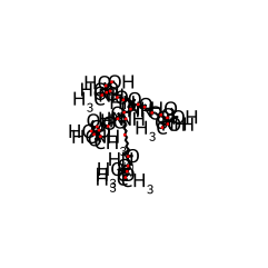 CC(=O)NC1C(OCCOCCNC(=O)CCC(NC(=O)CCC(NC(=O)CCCCCCCCCCC(=O)NC[C@@H]2C[C@H](OC(C)(C)C)[C@@H](CO)O2)C(=O)NCCOCCOC2OC(CO)C(O)C(O)C2NC(C)=O)C(=O)NCCOCCOC2OC(CO)C(O)C(O)C2NC(C)=O)OC(CO)C(O)C1O